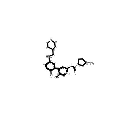 N[C@H]1CC[C@@H](C(=O)Nc2cc(-c3cc(NCC4CCOCC4)ccc3Cl)c(Cl)cn2)C1